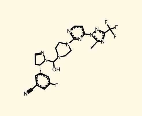 Cc1nc(C(F)(F)F)nn1-c1ccnc(N2CCN(C(O)N3N=CC[C@H]3c3cc(F)cc(C#N)c3)CC2)n1